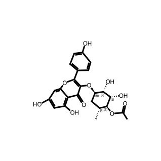 CC(=O)O[C@@H]1[C@@H](O)[C@@H](O)[C@H](Oc2c(-c3ccc(O)cc3)oc3cc(O)cc(O)c3c2=O)C[C@H]1C